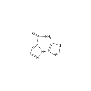 NC(=O)c1ccnn1-c1cscn1